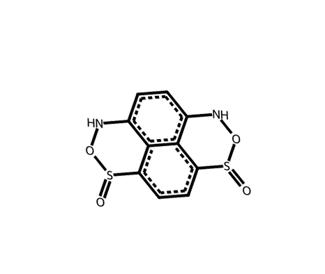 O=S1ONc2ccc3c4c(ccc1c24)S(=O)ON3